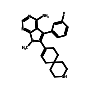 Cn1c(C2=CCC3(CCNCC3)CC2)c(-c2cccc(F)c2)c2c(N)ncnc21